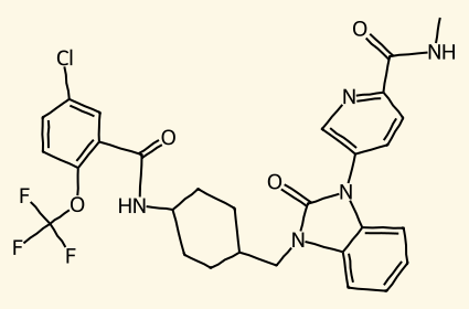 CNC(=O)c1ccc(-n2c(=O)n(CC3CCC(NC(=O)c4cc(Cl)ccc4OC(F)(F)F)CC3)c3ccccc32)cn1